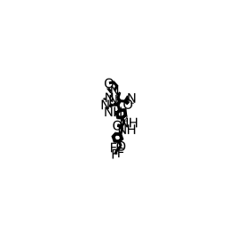 Nc1ncnn2c(CN3CCOCC3)c(-c3cnco3)c(-c3ccc(NC(=O)Nc4cccc(OC(F)(F)F)c4)cc3)c12